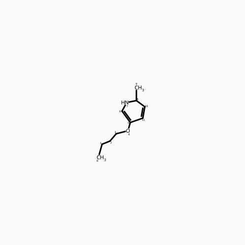 CCCCOC1=CNC(C)C=C1